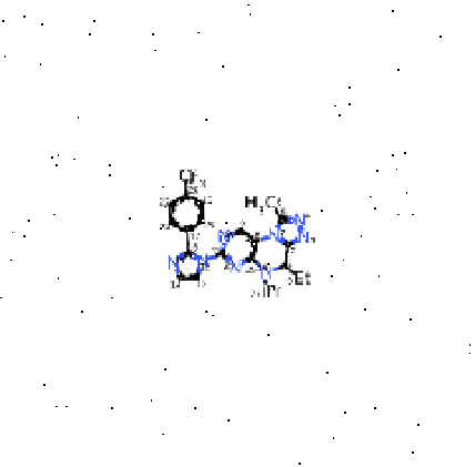 CCC1c2nnc(C)n2-c2cnc(-n3ccnc3-c3ccc(C(F)(F)F)cc3)nc2N1C(C)C